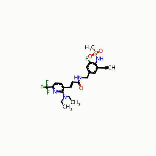 C#Cc1cc(CNC(=O)/C=C/c2ccc(C(F)(F)F)nc2N(CC)CC)cc(F)c1NS(C)(=O)=O